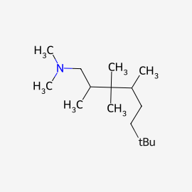 CC(CCC(C)(C)C)C(C)(C)C(C)CN(C)C